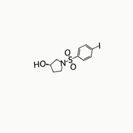 O=S(=O)(c1ccc(I)cc1)N1CC[C@@H](O)C1